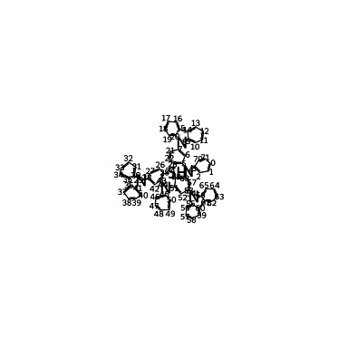 c1ccc(N2c3cc(-n4c5ccccc5c5ccccc54)ccc3[SH]3c4ccc(-n5c6ccccc6c6ccccc65)cc4N(c4ccccc4)c4cc(-n5c6ccccc6c6ccccc65)cc2c43)cc1